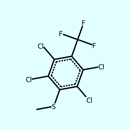 CSc1c(Cl)c(Cl)c(C(F)(F)F)c(Cl)c1Cl